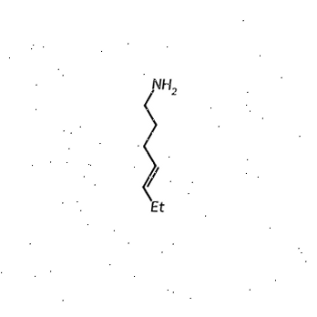 CCC=CCCCN